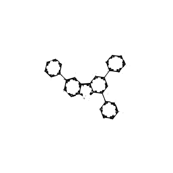 [c]1cc(-c2ccccc2)cc2c1oc1c(-c3ccccc3)cc(-c3ccccc3)cc12